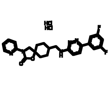 Cl.Cl.O=C1OC2(CCC(CNc3ccc(-c4cc(F)cc(F)c4)nn3)CC2)CN1c1ccccn1